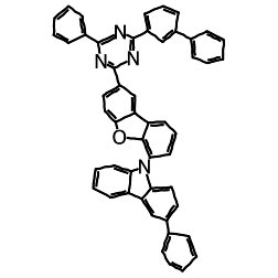 c1ccc(-c2cccc(-c3nc(-c4ccccc4)nc(-c4ccc5oc6c(-n7c8ccccc8c8cc(-c9ccccc9)ccc87)cccc6c5c4)n3)c2)cc1